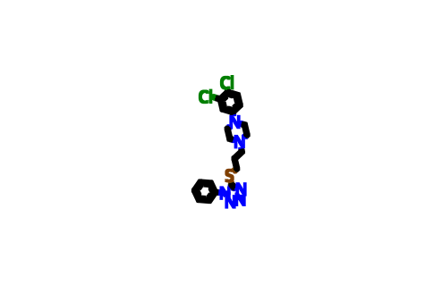 Clc1ccc(N2CCN(CCCSc3nnnn3-c3ccccc3)CC2)cc1Cl